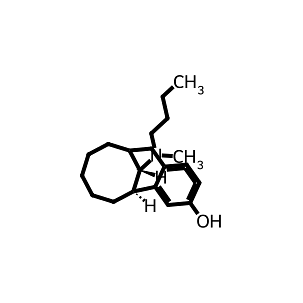 CCCCN(C)[C@H]1C2CCCCC[C@@H]1C1=CC(O)=C=C=C1C2